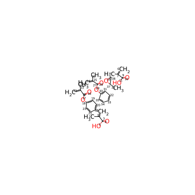 C=C(C)C(=O)O.C=C(C)C(=O)O.C=C(C)C(=O)Oc1ccccc1.C=C(C)C(=O)Oc1ccccc1.CC1CO1